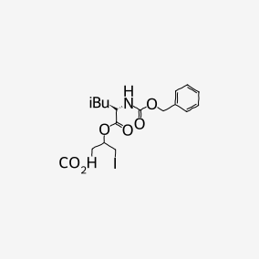 CC[C@H](C)[C@H](NC(=O)OCc1ccccc1)C(=O)OC(CI)CC(=O)O